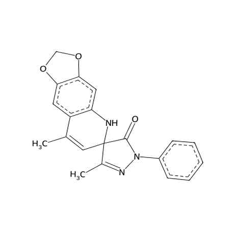 CC1=CC2(Nc3cc4c(cc31)OCO4)C(=O)N(c1ccccc1)N=C2C